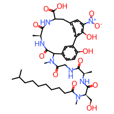 CC(C)CCCCCCCC(=O)N(C)[C@H](CO)C(=O)N[C@H](C)C(=O)NCC(=O)N(C)C1C(=O)N[C@@H](C)C(=O)NC(C(=O)O)Cc2cc(c(O)c([N+](=O)[O-])c2)-c2cc1ccc2O